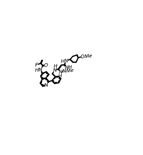 C=C(F)C(=O)Nc1ccc2c(-c3ccccc3CN/C(=C/C(=N)NC3CCC(OC)CC3)NNC)nccc2c1